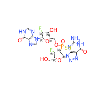 Nc1nc2c(nnn2[C@@H]2O[C@H](CO)[C@@H](F)[C@H]2P(=O)(S)OC[C@H]2O[C@@H](n3cnc4c(=O)[nH]cnc43)[C@@H](F)[C@@H]2O)c(=O)[nH]1